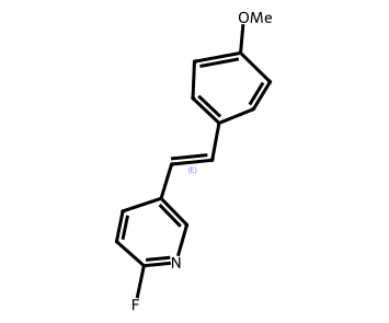 COc1ccc(/C=C/c2ccc(F)nc2)cc1